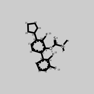 CN(C)C(=S)Oc1c(-c2cccc(F)c2F)ccc(C2CCCC2)c1F